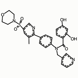 Cc1cc(S(=O)(=O)N2CCOCC2)cnc1-c1ccc(N(Cc2cccnc2)C(=O)c2ccc(O)cc2O)cc1